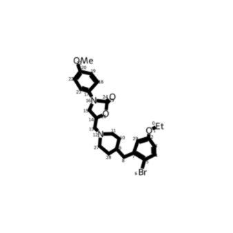 CCOc1ccc(Br)c(CC2CCN(CC3CN(c4ccc(OC)cc4)C(=O)O3)CC2)c1